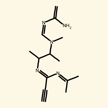 C#C/C(N=C(C)C)=N/C(C)C(C)N(C)/C=N\C(=C)N